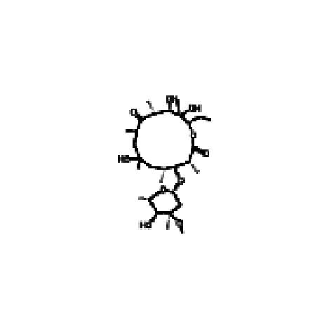 CC[C@H]1OC(=O)[C@H](C)[C@@H](O[C@H]2C[C@@](C)(OC)[C@@H](O)[C@H](C)O2)[C@H](C)C[C@](C)(O)C[C@@H](C)C(=O)[C@H](C)[C@@H](O)[C@]1(C)O